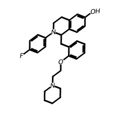 Oc1ccc2c(c1)CCN(c1ccc(F)cc1)C2Cc1ccccc1OCCN1CCCCC1